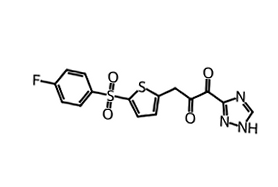 O=C(Cc1ccc(S(=O)(=O)c2ccc(F)cc2)s1)C(=O)c1nc[nH]n1